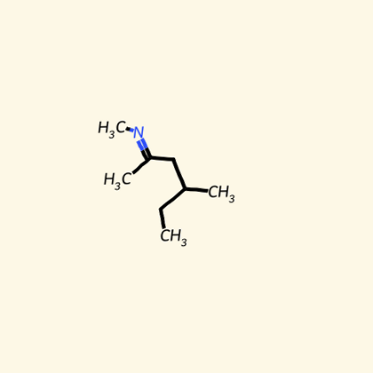 CCC(C)C/C(C)=N/C